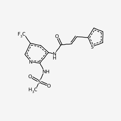 CS(=O)(=O)Nc1ncc(C(F)(F)F)cc1NC(=O)C=Cc1cccs1